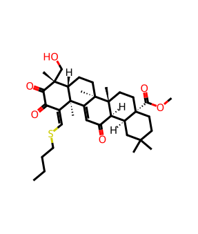 CCCCS/C=C1\C(=O)C(=O)[C@](C)(CO)[C@@H]2CC[C@]3(C)C(=CC(=O)[C@@H]4[C@@H]5CC(C)(C)CC[C@]5(C(=O)OC)CC[C@]43C)[C@@]12C